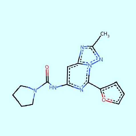 Cc1nc2cc(NC(=O)N3CCCC3)nc(-c3ccco3)n2n1